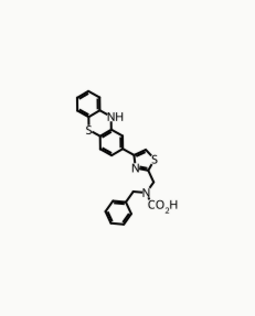 O=C(O)N(Cc1ccccc1)Cc1nc(-c2ccc3c(c2)Nc2ccccc2S3)cs1